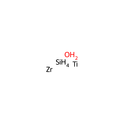 O.[SiH4].[Ti].[Zr]